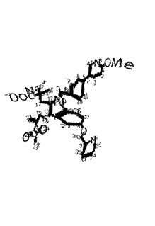 COc1ccc(-c2ccc(Cn3c(CC(C)(C)C(=O)[O-])c(SCC(C)S(C)(=O)=O)c4cc(OCc5ccccn5)ccc43)cc2)cn1.[Na+]